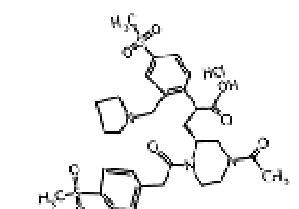 CC(=O)N1CCN(C(=O)Cc2ccc(S(C)(=O)=O)cc2)[C@@H](CC(C(=O)O)c2ccc(S(C)(=O)=O)cc2CN2CCCC2)C1.Cl